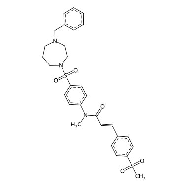 CN(C(=O)C=Cc1ccc(S(C)(=O)=O)cc1)c1ccc(S(=O)(=O)N2CCCN(Cc3ccccc3)CC2)cc1